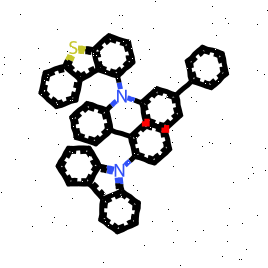 c1ccc(-c2cccc(N(c3ccccc3-c3ccccc3-n3c4ccccc4c4ccccc43)c3cccc4sc5ccccc5c34)c2)cc1